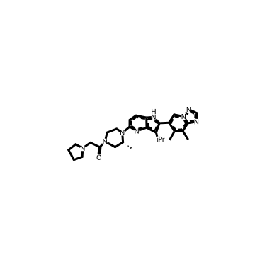 Cc1c(-c2[nH]c3ccc(N4CCN(C(=O)CN5CCCC5)C[C@H]4C)nc3c2C(C)C)cn2ncnc2c1C